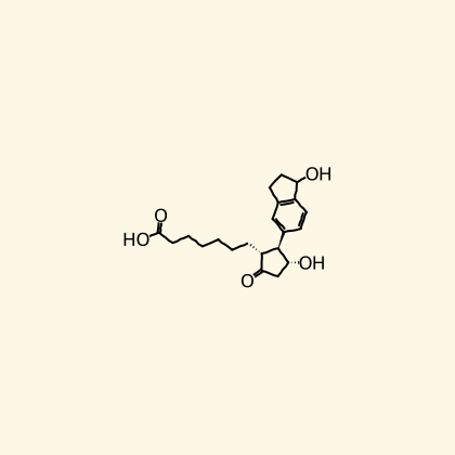 O=C(O)CCCCCC[C@H]1C(=O)C[C@@H](O)[C@@H]1c1ccc2c(c1)CCC2O